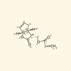 C=CC(=O)OC[C@@H]1C(=O)O[C@@H]2C=CC[C@H]12